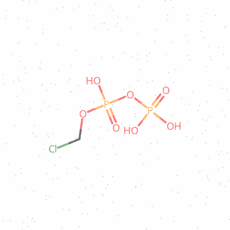 O=P(O)(O)OP(=O)(O)OCCl